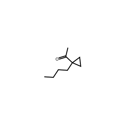 CCCCC1(C(C)=O)CC1